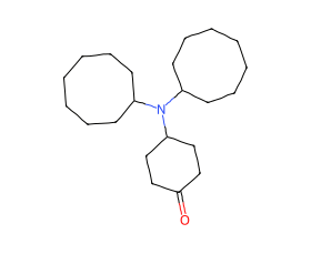 O=C1CCC(N(C2CCCCCCC2)C2CCCCCCC2)CC1